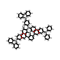 c1ccc(-c2cccc(-c3ccccc3)c2N2c3cc(-c4ccc(N(c5ccccc5)c5ccccc5)cc4)ccc3B3c4ccc(-n5c6ccccc6c6ccccc65)cc4Oc4cc(-c5ccc(-n6c7ccccc7c7ccccc76)cc5)cc2c43)cc1